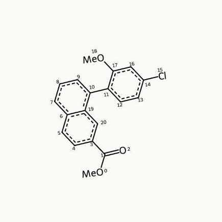 COC(=O)c1ccc2cccc(-c3ccc(Cl)cc3OC)c2c1